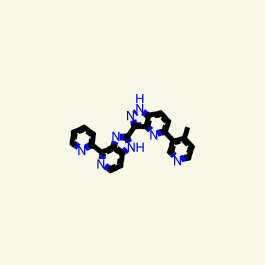 Cc1ccncc1-c1ccc2[nH]nc(-c3nc4c(-c5ccccn5)nccc4[nH]3)c2n1